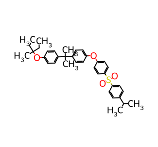 CCC(C)(CC)Oc1ccc(C(C)(C)c2ccc(Oc3ccc(S(=O)(=O)c4ccc(C(C)C)cc4)cc3)cc2)cc1